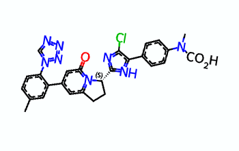 Cc1ccc(-n2cnnn2)c(-c2cc3n(c(=O)c2)[C@H](c2nc(Cl)c(-c4ccc(N(C)C(=O)O)cc4)[nH]2)CC3)c1